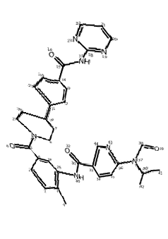 Cc1ccc(C(=O)N2CCC(c3ccc(C(=O)Nc4ncccn4)cc3)CC2)cc1NC(=O)c1ccc(N(C=O)C(C)C)nc1